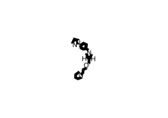 c1cnn(-c2ccc(CN3C[C@@H]4C(COCCCN5CCCCC5)[C@@H]4C3)cc2)c1